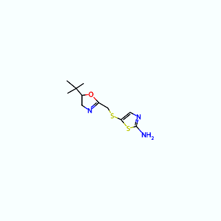 CC(C)(C)C1CN=C(CSc2cnc(N)s2)O1